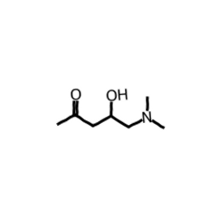 CC(=O)CC(O)CN(C)C